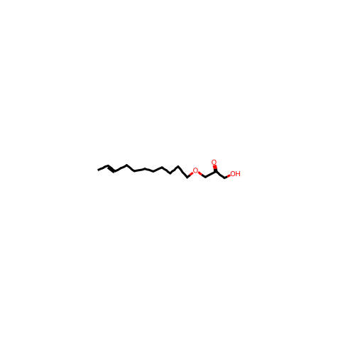 CC=CCCCCCCCCOCC(=O)CO